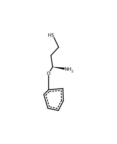 N[C@H](CCS)Oc1ccccc1